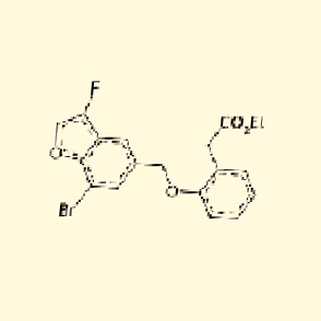 CCOC(=O)Cc1ccccc1OCc1cc(Br)c2occ(F)c2c1